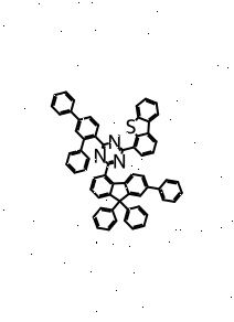 c1ccc(-c2ccc(-c3nc(-c4cccc5c4-c4ccc(-c6ccccc6)cc4C5(c4ccccc4)c4ccccc4)nc(-c4cccc5c4sc4ccccc45)n3)c(-c3ccccc3)c2)cc1